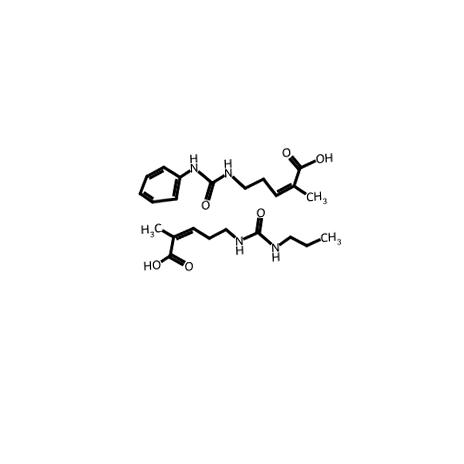 CC(=CCCNC(=O)Nc1ccccc1)C(=O)O.CCCNC(=O)NCCC=C(C)C(=O)O